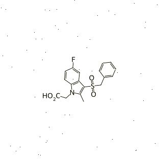 Cc1c(S(=O)(=O)Cc2ccccc2)c2cc(F)ccc2n1CC(=O)O